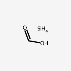 O=CO.[SiH4]